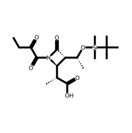 CCC(=O)C(=O)N1C(=O)[C@H]([C@@H](C)O[Si](C)(C)C(C)(C)C)[C@H]1[C@@H](C)C(=O)O